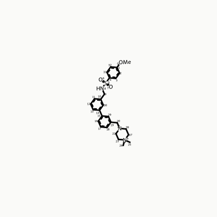 COc1ccc(S(=O)(=O)NCc2cccc(-c3cccc(CN4CC[N+](C)(C)CC4)c3)c2)cc1